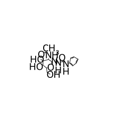 CC(=O)NC1/C(=N/NC(=O)Nc2ccccc2)OC(CO)C(O)C1O